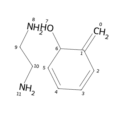 C=C1C=CC=CC1O.NCCN